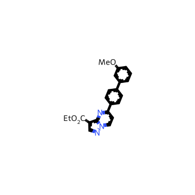 CCOC(=O)c1cnn2ccc(-c3ccc(-c4cccc(OC)c4)cc3)nc12